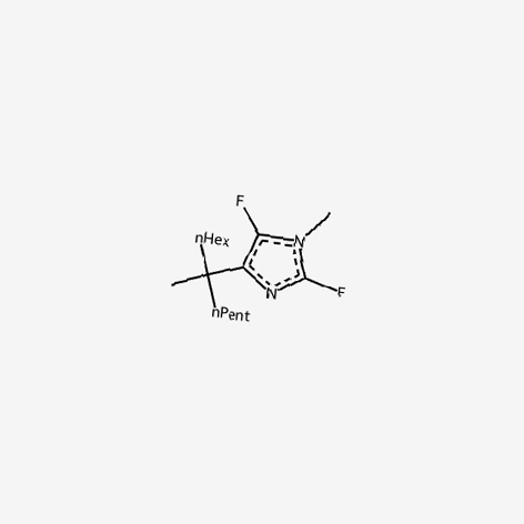 CCCCCCC(C)(CCCCC)c1nc(F)n(C)c1F